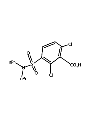 CCCN(CCC)S(=O)(=O)c1ccc(Cl)c(C(=O)O)c1Cl